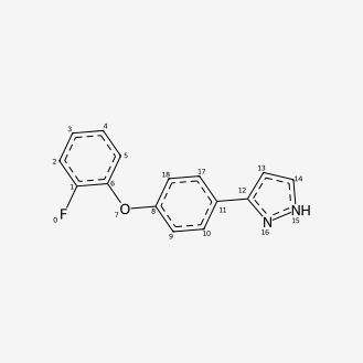 Fc1ccccc1Oc1ccc(-c2cc[nH]n2)cc1